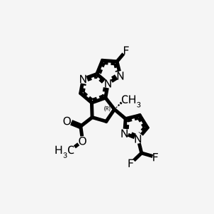 COC(=O)C1C[C@](C)(c2ccn(C(F)F)n2)c2c1cnc1cc(F)nn21